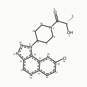 C[C@H](O)C(=O)N1CCC(n2nnc3cnc4ccc(Cl)nc4c32)CC1